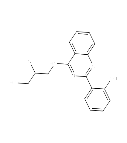 NC(CO)CNc1nc(-c2ccccc2O)nc2ccccc12